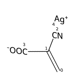 C=C(C#N)C(=O)[O-].[Ag+]